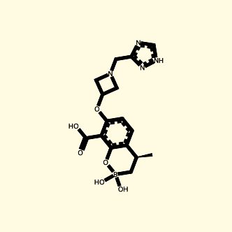 C[C@H]1C[B-](O)(O)Oc2c1ccc(OC1CN(Cc3nc[nH]n3)C1)c2C(=O)O